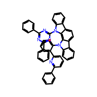 c1ccc(-c2cccc(-c3ccccc3-n3c4ccccc4c4ccc5c6ccccc6n(-c6nc(-c7ccccc7)nc(-c7ccccc7)n6)c5c43)n2)cc1